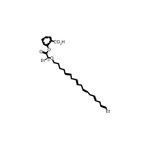 CCC=CCC=CCC=CCC=CCC=CCCCCO[C@@H](CC)C(=O)Oc1ccccc1C(=O)O